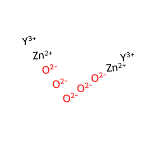 [O-2].[O-2].[O-2].[O-2].[O-2].[Y+3].[Y+3].[Zn+2].[Zn+2]